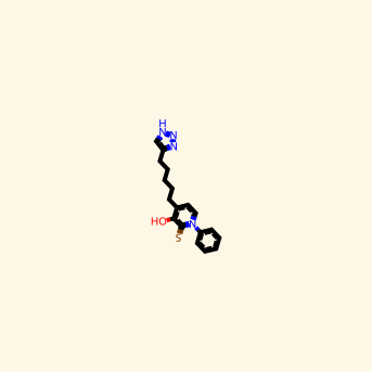 Oc1c(CCCCCc2c[nH]nn2)ccn(-c2ccccc2)c1=S